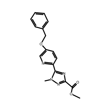 COC(=O)c1nc(-c2ccc(OCc3ccccc3)cn2)n(C)n1